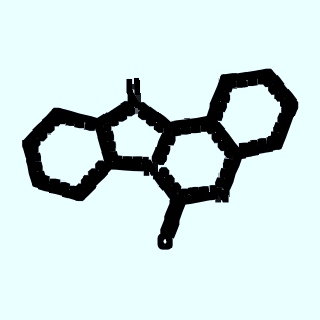 O=c1nc2ccccc2c2[nH]c3ccccc3n12